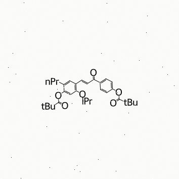 CCCc1cc(C=CC(=O)c2ccc(OC(=O)C(C)(C)C)cc2)c(OC(C)C)cc1OC(=O)C(C)(C)C